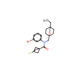 CC(=O)OCC12CCC(CN(C(=O)C34CC(F)(C3)C4)c3cccc(Br)c3)(CC1)OC2